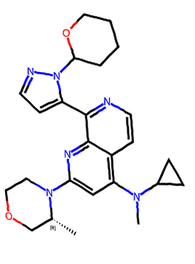 C[C@@H]1COCCN1c1cc(N(C)C2CC2)c2ccnc(-c3ccnn3C3CCCCO3)c2n1